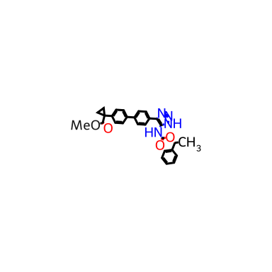 COC(=O)C1(c2ccc(-c3ccc(-c4nn[nH]c4NC(=O)OC(C)c4ccccc4)cc3)cc2)CC1